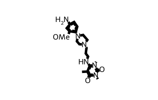 COc1cc(N)ccc1N1CCN(CCCNc2c(C)c(=O)n(C)c(=O)n2C)CC1